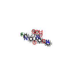 CC(C)(Cc1c(C(=O)c2ccc(-c3ccc(F)cn3)cc2)c2ccc(OCc3ccccn3)cc2n1C=O)C(=O)O